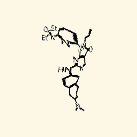 C=CCn1c(=O)c2cnc(Nc3ccc4c(c3)CCC(N(C)C)C4)nc2n1-c1cccc(N=S(=O)(CC)CC)n1